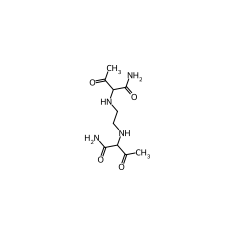 CC(=O)C(NCCNC(C(C)=O)C(N)=O)C(N)=O